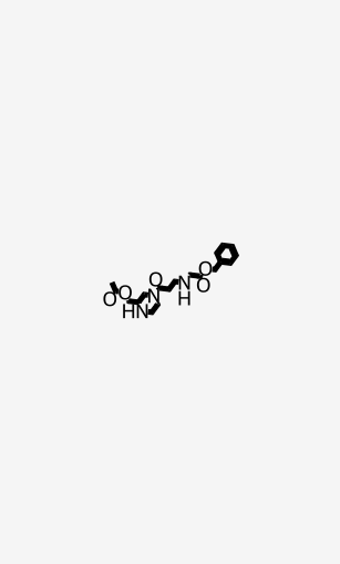 CC(=O)OCC1CN(C(=O)CCNCC(=O)OCc2ccccc2)CCN1